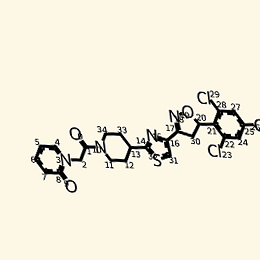 O=C(Cn1ccccc1=O)N1CCC(c2nc(C3=NOC(c4c(Cl)cc(Cl)cc4Cl)C3)cs2)CC1